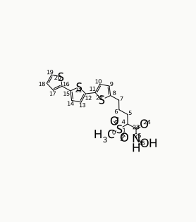 CS(=O)(=O)C(CCCc1ccc(-c2ccc(-c3cccs3)s2)s1)C(=O)NO